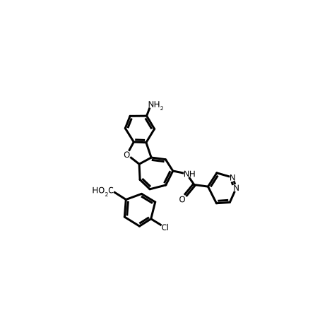 Nc1ccc2c(c1)C1=CC(NC(=O)c3ccnnc3)=CC=CC1O2.O=C(O)c1ccc(Cl)cc1